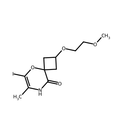 COCCOC1CC2(C1)OC(I)=C(C)NC2=O